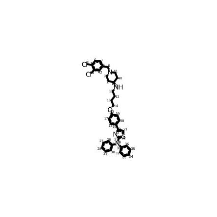 Clc1ccc(CN2CCC(NCCCCOc3ccc(-c4csc(N(c5ccccc5)c5ccccc5)n4)cc3)CC2)cc1Cl